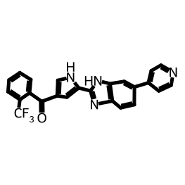 O=C(c1c[nH]c(-c2nc3ccc(-c4ccncc4)cc3[nH]2)c1)c1ccccc1C(F)(F)F